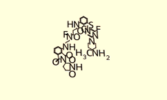 CC1(N)CCN(c2cnc(Sc3cccc(NC(=O)CC(=O)N(F)CCNc4cccc5c4C(=O)N(C4CCC(=O)NC4=O)C5=O)c3Cl)c(F)n2)CC1